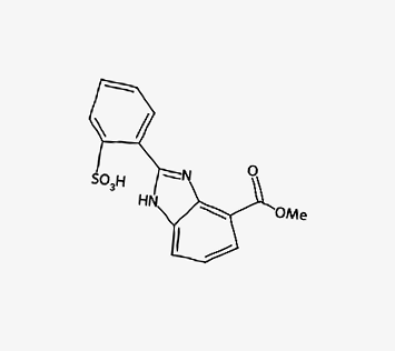 COC(=O)c1cccc2[nH]c(-c3ccccc3S(=O)(=O)O)nc12